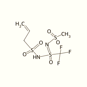 C=CCS(=O)(=O)NS(=O)(=NS(C)(=O)=O)C(F)(F)F